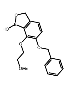 COCCOc1c(OCc2ccccc2)ccc2c1B(O)OC2